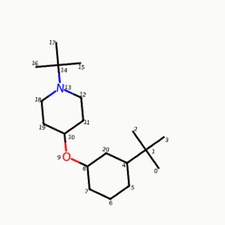 CC(C)(C)C1CCCC(OC2CCN(C(C)(C)C)CC2)C1